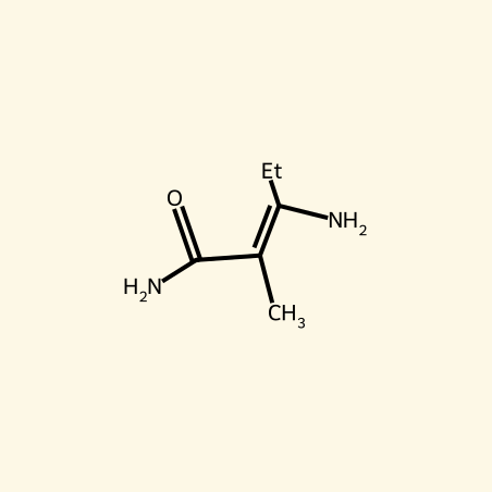 CCC(N)=C(C)C(N)=O